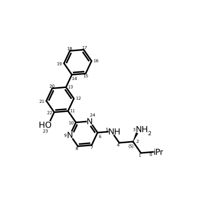 CC(C)C[C@H](N)CNc1ccnc(-c2cc(-c3ccccc3)ccc2O)n1